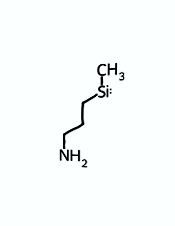 C[Si]CCCN